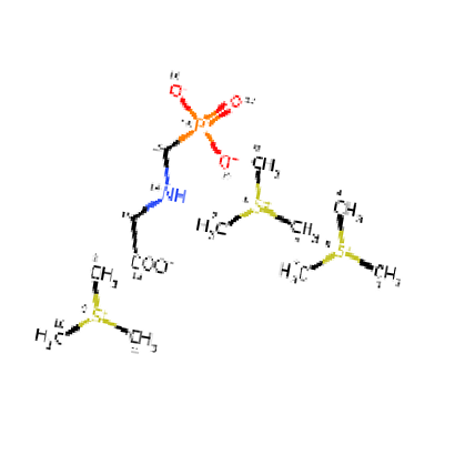 C[S+](C)C.C[S+](C)C.C[S+](C)C.O=C([O-])CNCP(=O)([O-])[O-]